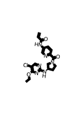 C=CC(=O)Nc1ccc(C(=O)N2CC[C@@H](Nc3ncc(Cl)c(OCC)n3)C2)nc1